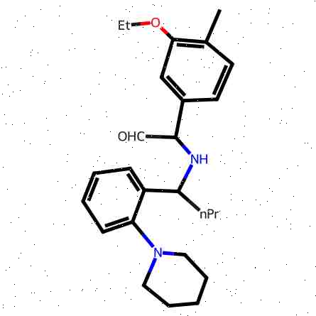 CCCC(NC(C=O)c1ccc(C)c(OCC)c1)c1ccccc1N1CCCCC1